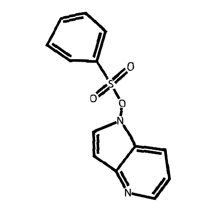 O=S(=O)(On1ccc2ncccc21)c1ccccc1